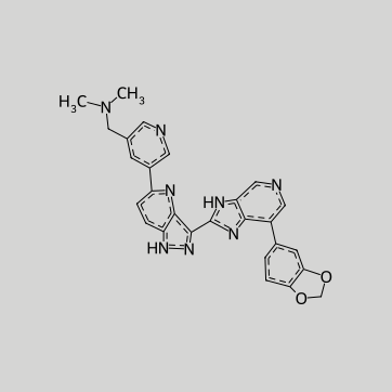 CN(C)Cc1cncc(-c2ccc3[nH]nc(-c4nc5c(-c6ccc7c(c6)OCO7)cncc5[nH]4)c3n2)c1